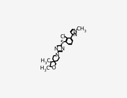 C[C@@H]1OCC2(CCN(c3cnc(Sc4cccc(-c5ccn(C)n5)c4Cl)cn3)CC2)[C@@H]1C